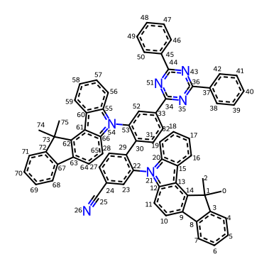 CC1(C)c2ccccc2-c2ccc3c(c21)c1ccccc1n3-c1cc(C#N)ccc1-c1ccc(-c2nc(-c3ccccc3)nc(-c3ccccc3)n2)cc1-n1c2ccccc2c2c3c(ccc21)-c1ccccc1C3(C)C